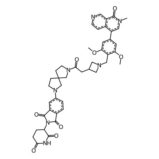 COc1cc(-c2cn(C)c(=O)c3cnccc23)cc(OC)c1CN1CC(CC(=O)N2CCC3(CCN(c4ccc5c(c4)C(=O)N(C4CCC(=O)NC4=O)C5=O)C3)C2)C1